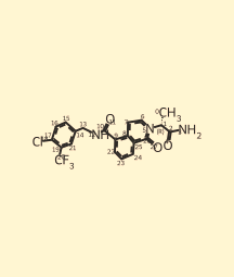 C[C@H](C(N)=O)n1ccc2c(C(=O)NCc3ccc(Cl)c(C(F)(F)F)c3)cccc2c1=O